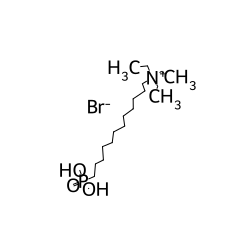 CC[N+](CC)(CC)CCCCCCCCCCCCP(=O)(O)O.[Br-]